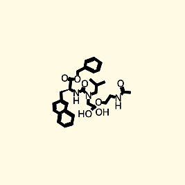 CC(=O)NCCOC(O)(O)CN(CC(C)C)C(=O)N[C@@H](Cc1ccc2ccccc2c1)C(=O)OCc1ccccc1